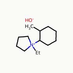 CC[N+]1(C2CCCCC2C)CCCC1.[OH-]